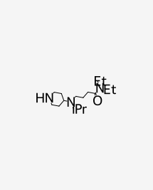 CCN(CC)C(=O)CCCN(C(C)C)C1CCNCC1